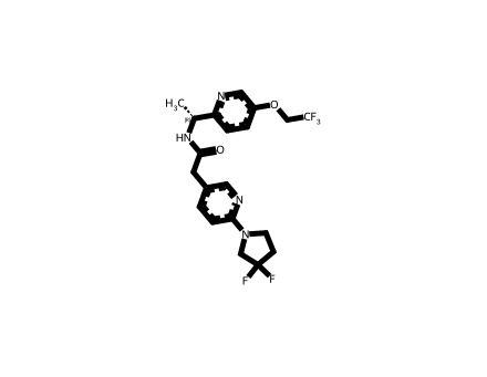 C[C@@H](NC(=O)Cc1ccc(N2CCC(F)(F)C2)nc1)c1ccc(OCC(F)(F)F)cn1